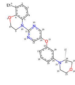 CCc1cccc2c1OCCN2c1ncc(Oc2cccc(N3CCOC[C@H]3C)c2)cn1